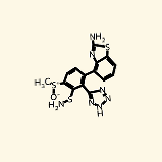 C[S+]([O-])c1ccc(-c2cccc3sc(N)nc23)c(-c2nn[nH]n2)c1SN